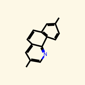 Cc1ccc2c(ccc3cc(C)cnc32)c1